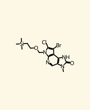 Cn1c(=O)[nH]c2c3c(Br)c(Cl)n(COCC[Si](C)(C)C)c3ncc21